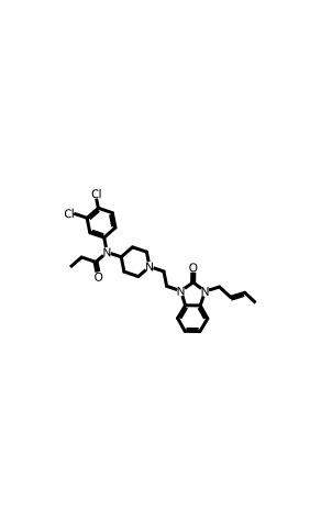 CC=CCn1c(=O)n(CCN2CCC(N(C(=O)CC)c3ccc(Cl)c(Cl)c3)CC2)c2ccccc21